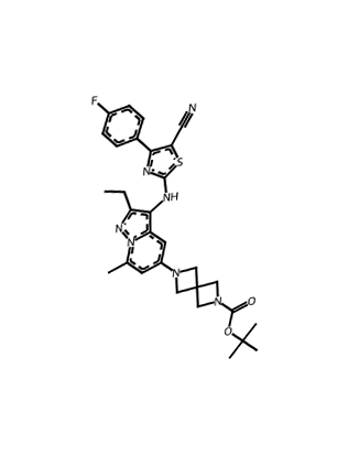 CCc1nn2c(C)cc(N3CC4(CN(C(=O)OC(C)(C)C)C4)C3)cc2c1Nc1nc(-c2ccc(F)cc2)c(C#N)s1